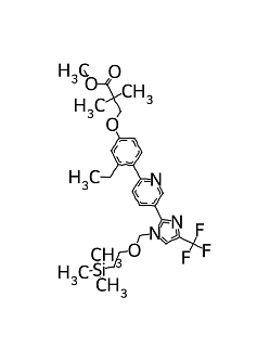 CCc1cc(OCC(C)(C)C(=O)OC)ccc1-c1ccc(-c2nc(C(F)(F)F)cn2COCC[Si](C)(C)C)cn1